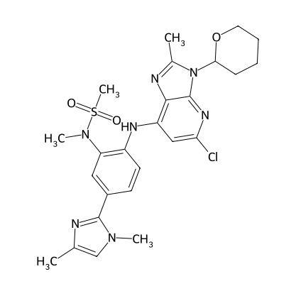 Cc1cn(C)c(-c2ccc(Nc3cc(Cl)nc4c3nc(C)n4C3CCCCO3)c(N(C)S(C)(=O)=O)c2)n1